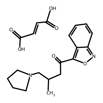 CC(CC(=O)c1onc2ccccc12)CN1CCCC1.O=C(O)C=CC(=O)O